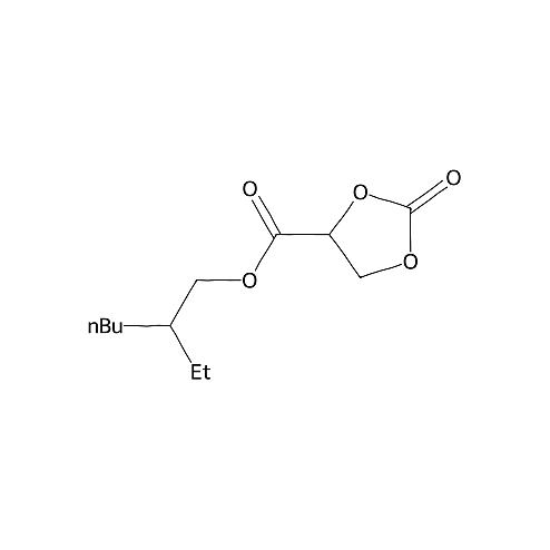 CCCCC(CC)COC(=O)C1COC(=O)O1